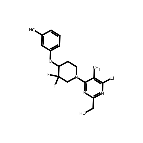 Cc1c(Cl)nc(CO)nc1N1CCC(Oc2cccc(C#N)c2)C(F)(F)C1